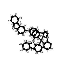 c1ccc2c(c1)-c1cccc(-c3ccc(-c4ccc5oc6ccccc6c5c4)cc3)c1C21c2ccccc2-n2c3ccccc3c3cccc1c32